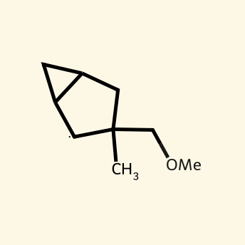 COCC1(C)[CH]C2CC2C1